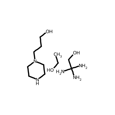 CCO.NC(N)(N)CO.OCCCN1CCNCC1